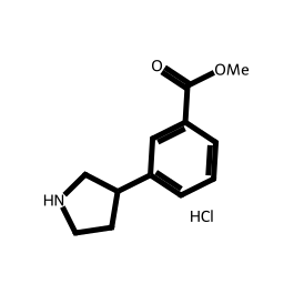 COC(=O)c1cccc(C2CCNC2)c1.Cl